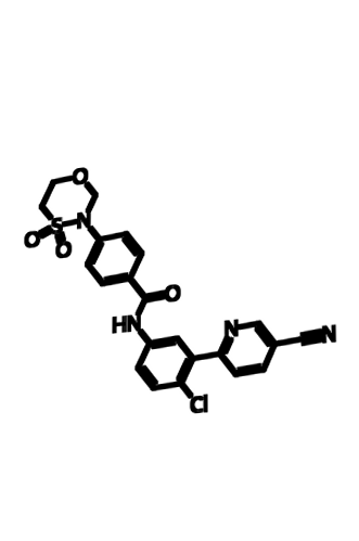 N#Cc1ccc(-c2cc(NC(=O)c3ccc(N4COCCS4(=O)=O)cc3)ccc2Cl)nc1